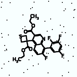 CCOC(=O)c1cnc2c(-c3cc(F)cc(F)c3F)c(F)ccc2c1C1(C(=O)OCC)CSC1